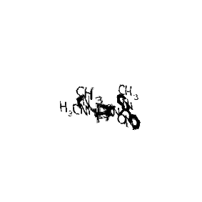 Cc1ccc2c(C(=O)N3C[C@@H]4CN(c5nc(C)cc(C)n5)C[C@@H]4C3)c(-c3ccccn3)nn2c1